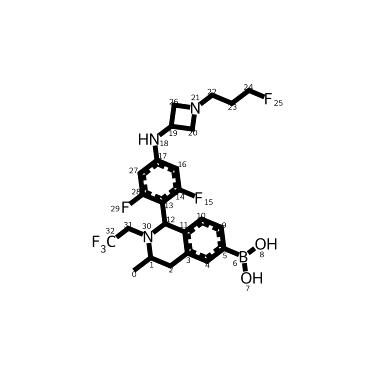 CC1Cc2cc(B(O)O)ccc2C(c2c(F)cc(NC3CN(CCCF)C3)cc2F)N1CC(F)(F)F